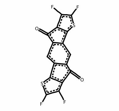 O=c1c2cc3c(cc2c2sc(F)c(F)c12)c(=O)c1c(F)c(F)sc13